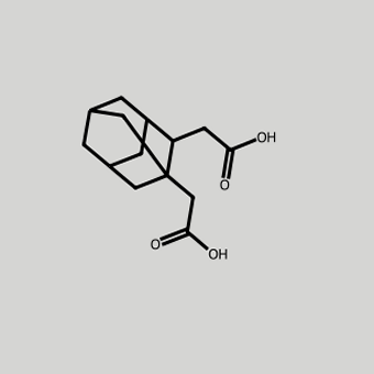 O=C(O)CC1C2CC3CC(C2)CC1(CC(=O)O)C3